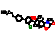 CC(c1ccc(-c2ccc(CCC(=O)O)cc2)cc1Cl)C(O)(c1ccc2c(c1)N(C)C(=O)CO2)C(F)(F)F